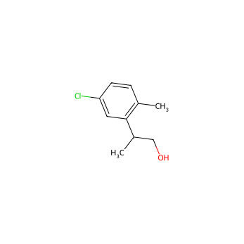 C[C](CO)c1cc(Cl)ccc1C